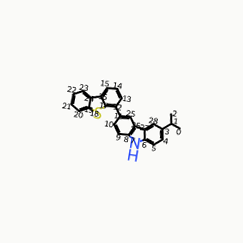 CC(C)c1ccc2[nH]c3ccc(-c4cccc5c4sc4ccccc45)cc3c2c1